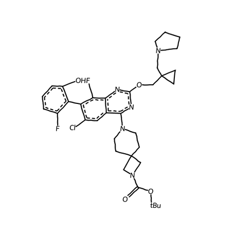 CC(C)(C)OC(=O)N1CC2(CCN(c3nc(OCC4(CN5CCCC5)CC4)nc4c(F)c(-c5c(O)cccc5F)c(Cl)cc34)CC2)C1